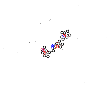 O=P(c1ccccc1)(c1ccccc1)c1cccc2c1Oc1ccccc1C21c2ccccc2-c2cc(-c3cccc(-c4nnc(-c5cccc6c5Oc5ccccc5C65c6ccccc6-c6c(-c7ccc(-c8cccc9c8Oc8ccccc8C98c9ccccc9-c9ccccc98)c8nc(-c9ccccc9)ccc78)cccc65)s4)c3)ccc21